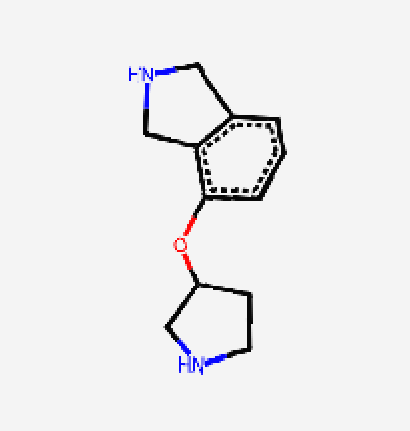 c1cc2c(c(OC3CCNC3)c1)CNC2